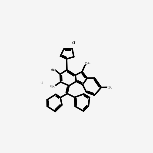 CC(C)(C)c1ccc2c(c1)=[C]([Zr+2])c1c(C3=CC=CC3)c(C(C)(C)C)c(C(C)(C)C)c(=C(c3ccccc3)c3ccccc3)c1=2.[Cl-].[Cl-]